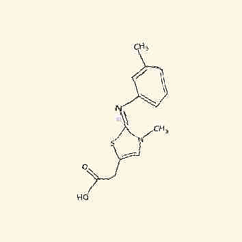 Cc1cccc(/N=c2/sc(CC(=O)O)cn2C)c1